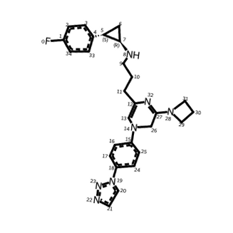 Fc1ccc([C@@H]2C[C@H]2NCCCC2=CN(c3ccc(-n4ccnn4)cc3)CC(N3CCC3)=N2)cc1